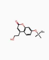 CC(C)(C)[Si](C)(C)Oc1ccc2c(CCO)cc(=O)oc2c1